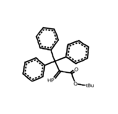 CC(C)(C)OC(=O)C(=P)C(c1ccccc1)(c1ccccc1)c1ccccc1